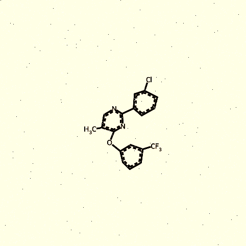 Cc1cnc(-c2cccc(Cl)c2)nc1Oc1cccc(C(F)(F)F)c1